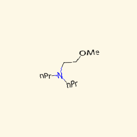 CCCN(CCC)CCOC